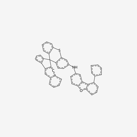 c1ccc(-c2cccc3oc4ccc(Nc5ccc6c(c5)Sc5ccccc5C65c6ccccc6-c6cc7ccccc7cc65)cc4c23)cc1